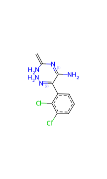 C=C(N)/N=C(N)\C(=N/N)c1cccc(Cl)c1Cl